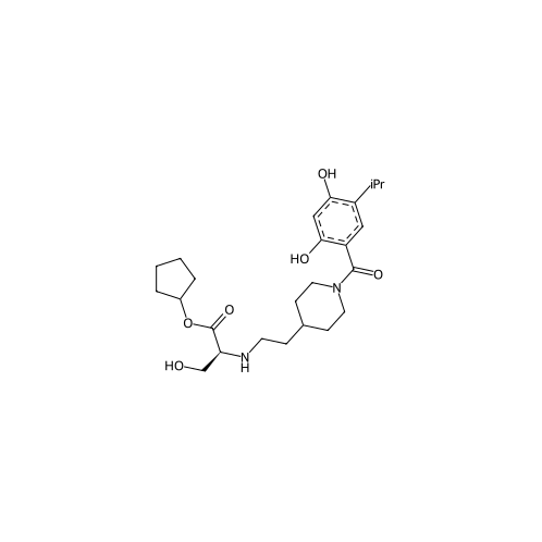 CC(C)c1cc(C(=O)N2CCC(CCN[C@@H](CO)C(=O)OC3CCCC3)CC2)c(O)cc1O